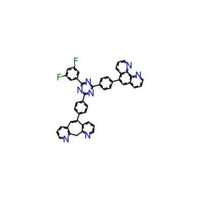 Fc1cc(F)cc(-c2nc(-c3ccc(C4=Cc5cccnc5Cc5ncccc54)cc3)nc(-c3ccc(-c4cc5cccnc5c5ncccc45)cc3)n2)c1